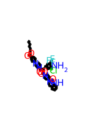 CCCCCCOC(=O)c1ccc(N2CCN(C(=O)[C@@H](Cc3cc(Cl)c(N)c(C(F)(F)F)c3)OC(=O)N3CCC(N4CCc5ccccc5NC4=O)CC3)CC2)cc1